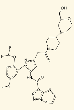 CSc1ccc(OC(F)F)c(-c2nn(CC(=O)N3CCC(N4CCO[C@H](CO)C4)CC3)cc2NC(=O)c2cnn3cccnc23)c1